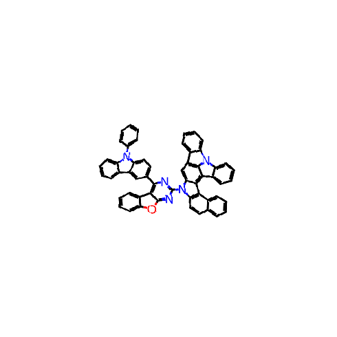 c1ccc(-n2c3ccccc3c3cc(-c4nc(-n5c6ccc7ccccc7c6c6c7c8ccccc8n8c9ccccc9c(cc65)c78)nc5oc6ccccc6c45)ccc32)cc1